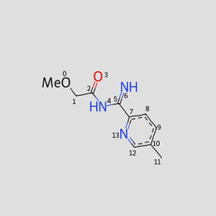 COCC(=O)NC(=N)c1ccc(C)cn1